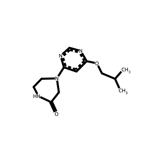 CC(C)COc1cc(N2CCNC(=O)C2)ncn1